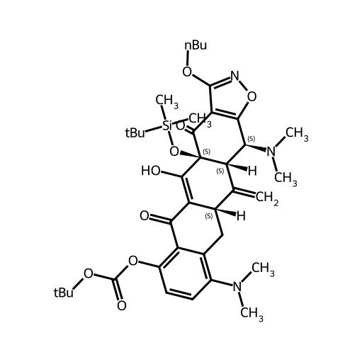 C=C1[C@@H]2Cc3c(N(C)C)ccc(OC(=O)OC(C)(C)C)c3C(=O)C2=C(O)[C@]2(O[Si](C)(C)C(C)(C)C)C(=O)c3c(OCCCC)noc3[C@@H](N(C)C)[C@H]12